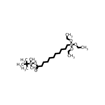 CCO[Si](CCCCCCCCCCC(=O)O[Si](C)(C)C(C)(C)C)(OCC)OCC